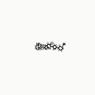 N#Cc1cccc(-c2ccc(-c3nc4nc(OC5CO[C@@H]6CCO[C@H]56)[nH]c4cc3Cl)cc2)c1